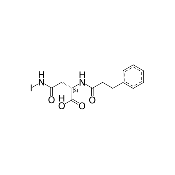 O=C(C[C@H](NC(=O)CCc1ccccc1)C(=O)O)NI